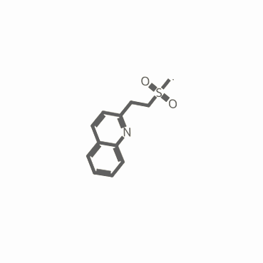 [CH2]S(=O)(=O)CCc1ccc2ccccc2n1